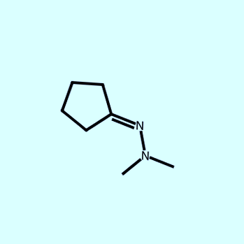 CN(C)N=C1CCCC1